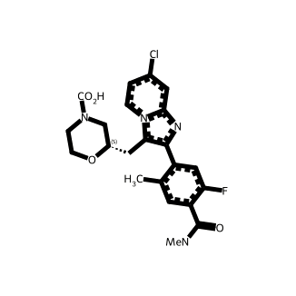 CNC(=O)c1cc(C)c(-c2nc3cc(Cl)ccn3c2C[C@H]2CN(C(=O)O)CCO2)cc1F